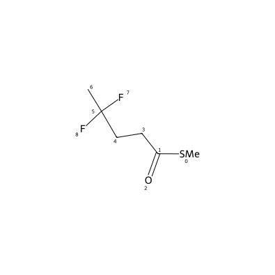 CSC(=O)CCC(C)(F)F